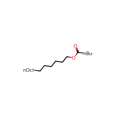 CCC[CH]C(=O)OCCCCCCCCCCCCCC